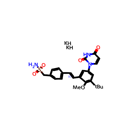 COc1c(/C=C/c2ccc(CS(N)(=O)=O)cc2)cc(-n2ccc(=O)[nH]c2=O)cc1C(C)(C)C.[KH].[KH]